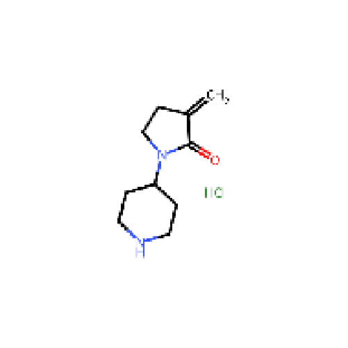 C=C1CCN(C2CCNCC2)C1=O.Cl